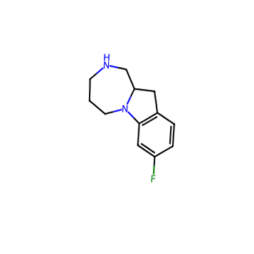 Fc1ccc2c(c1)N1CCCNCC1C2